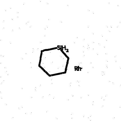 C1CC[SiH2]CC1.[Rh]